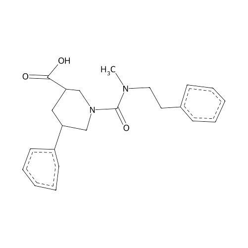 CN(CCc1ccccc1)C(=O)N1CC(C(=O)O)CC(c2ccccc2)C1